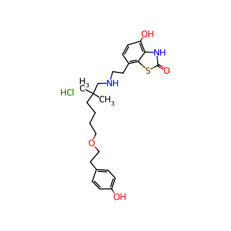 CC(C)(CCCCOCCc1ccc(O)cc1)CNCCc1ccc(O)c2[nH]c(=O)sc12.Cl